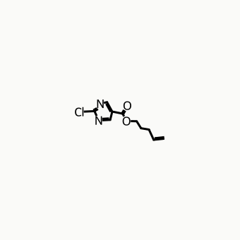 C=CCCCOC(=O)c1cnc(Cl)nc1